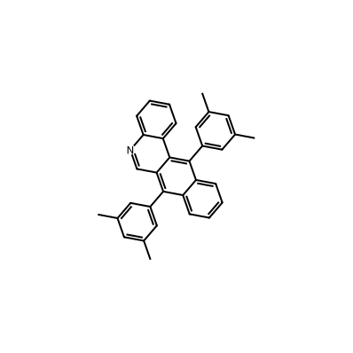 Cc1cc(C)cc(-c2c3ccccc3c(-c3cc(C)cc(C)c3)c3c2cnc2ccccc23)c1